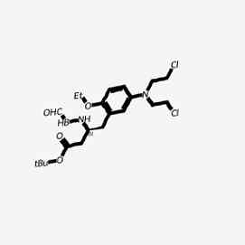 CCOc1ccc(N(CCCl)CCCl)cc1C[C@@H](CC(=O)OC(C)(C)C)NBC=O